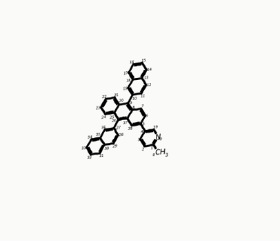 Cc1ccc(-c2ccc3c(-c4ccc5ccccc5c4)c4ccccc4c(-c4ccc5ccccc5c4)c3c2)cn1